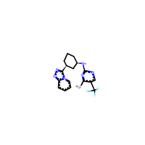 Cc1nc(N[C@@H]2CCC[C@H](c3nnc4ccccn34)C2)ncc1C(F)(F)F